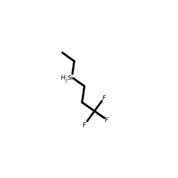 CC[SiH2]CCC(F)(F)F